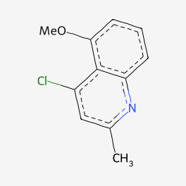 COc1cccc2nc(C)cc(Cl)c12